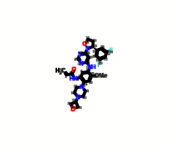 C=CC(=O)Nc1cc(Nc2cc(N3OCC[C@@H]3c3cc(F)cc(F)c3)ncn2)c(OC)cc1N1CCN(C2COC2)CC1